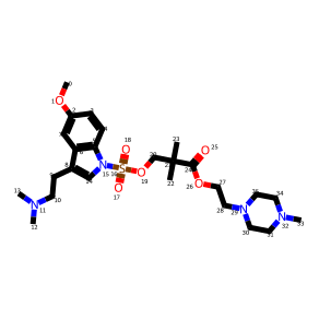 COc1ccc2c(c1)c(CCN(C)C)cn2S(=O)(=O)OCC(C)(C)C(=O)OCCN1CCN(C)CC1